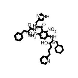 N[C@@H](Cc1ccccc1)C(=O)N[C@@H](Cc1c[nH]cn1)C(=O)c1c([N+](=O)[O-])ccc(N[C@@H](CC2CCCCC2)[C@@H](O)CCCc2ccccn2)c1[N+](=O)[O-]